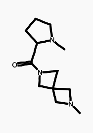 CN1CC2(C1)CN(C(=O)C1CCCN1C)C2